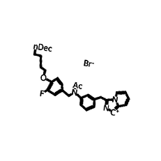 CCCCCCCCCCCCCCOc1ccc(CN(C(C)=O)c2cccc(CC3=N[C+]=C4C=CC=CN43)c2)cc1F.[Br-]